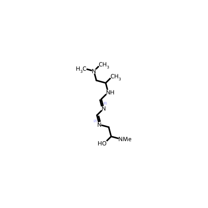 CNC(O)C/N=C\N=C\NC(C)CN(C)C